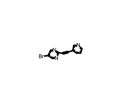 Brc1cnc(C#Cc2cccnc2)nc1